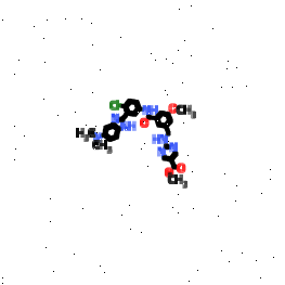 COC(=O)c1cnc(NCc2cc(OC)cc(C(=O)Nc3ccc(Cl)c(-c4nc5cc(N(C)C)ccc5[nH]4)c3)c2)nc1